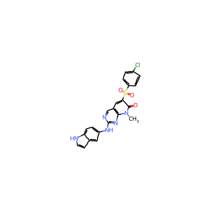 Cn1c(=O)c(S(=O)(=O)c2ccc(Cl)cc2)cc2cnc(Nc3ccc4[nH]ccc4c3)nc21